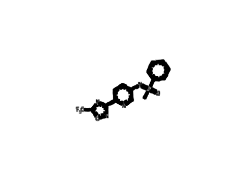 CS(=O)(=Nc1ccc(-c2noc(C(F)(F)F)n2)nc1)c1ccccc1